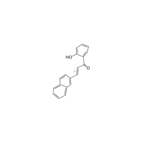 O=C(/C=C/c1ccc2ccccc2c1)c1ccccc1O